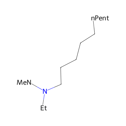 CCCCCCCCCCN(CC)NC